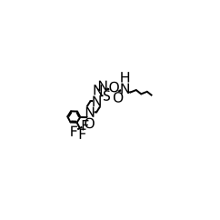 CCCCCNC(=O)Oc1nnc(N2CCN(C(=O)c3ccccc3C(F)(F)F)CC2)s1